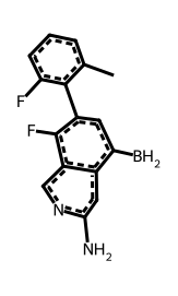 Bc1cc(-c2c(C)cccc2F)c(F)c2cnc(N)cc12